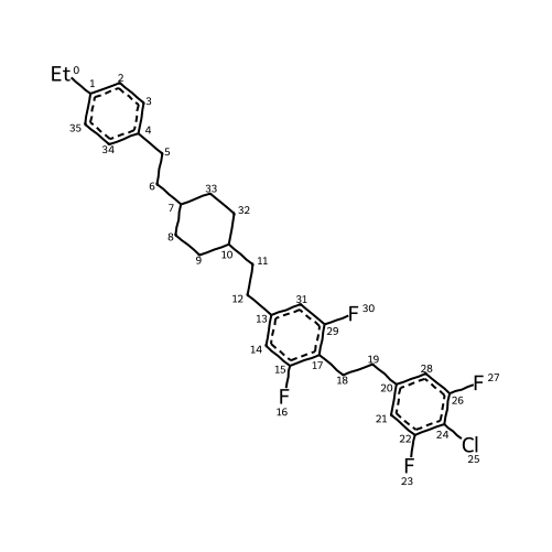 CCc1ccc(CCC2CCC(CCc3cc(F)c(CCc4cc(F)c(Cl)c(F)c4)c(F)c3)CC2)cc1